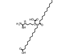 CCCCCCCCCCCC(=O)N(CCCCCCCCCCCC(=O)O)[C@@H](CCCNC(=N)N)C(=O)O